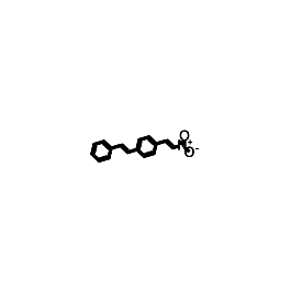 O=[N+]([O-])C=Cc1ccc(C=Cc2ccccc2)cc1